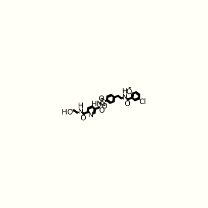 COc1ccc(Cl)cc1C(=O)NCCc1ccc(S(=O)(=O)NC(=O)c2ccc(C(=O)NCCO)nc2)cc1